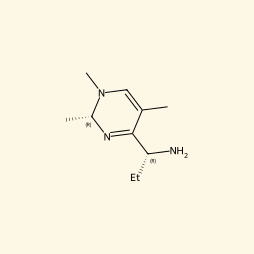 CC[C@@H](N)C1=N[C@H](C)N(C)C=C1C